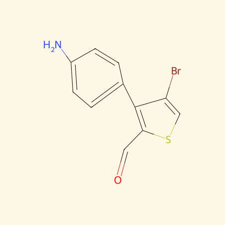 Nc1ccc(-c2c(Br)csc2C=O)cc1